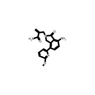 C=C(CN1Cc2c(-c3cccc(OC)n3)ccc(N)c2C1=O)C(N)=O